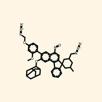 COc1cc(OCN=[N+]=[N-])ccc1-c1cc2c(N=O)cc3c(c2cc1OC1C2CC4CC(C2)CC1C4)-c1ccccc1C31CC(C)CC(CN=[N+]=[N-])C1